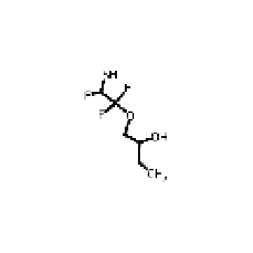 CCC(O)COC(F)(F)C(F)S